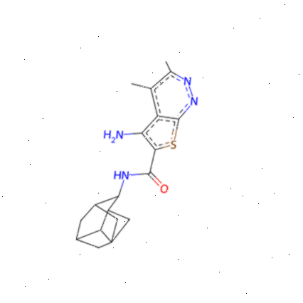 Cc1nnc2sc(C(=O)NC3C4CC5CC6(C4)CC3C56)c(N)c2c1C